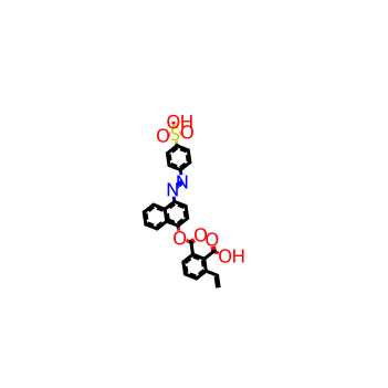 C=Cc1cccc(C(=O)Oc2ccc(N=Nc3ccc(S(=O)(=O)O)cc3)c3ccccc23)c1C(=O)O